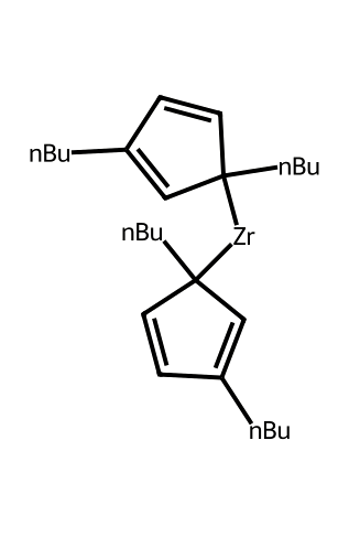 CCCCC1=C[C](CCCC)([Zr][C]2(CCCC)C=CC(CCCC)=C2)C=C1